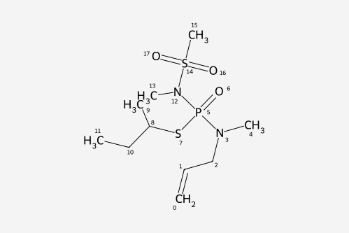 C=CCN(C)P(=O)(SC(C)CC)N(C)S(C)(=O)=O